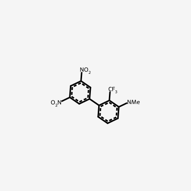 CNc1cccc(-c2cc([N+](=O)[O-])cc([N+](=O)[O-])c2)c1C(F)(F)F